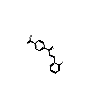 O=C(O)c1ccc(C(=O)/C=C/c2ccccc2Cl)cc1